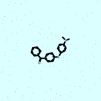 CN(C)c1ccc(Sc2ccc(C(=O)c3ccccc3)cc2)cc1